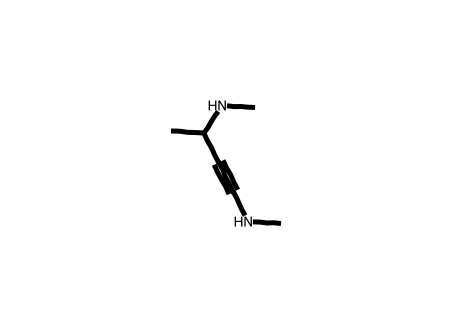 CNC#CC(C)NC